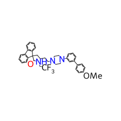 COc1ccc(-c2cccc(N3CCN(CCCCC4(C(=O)NCC(F)(F)F)c5ccccc5-c5ccccc54)CC3)c2)cc1